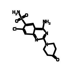 Nc1nc(N2CCC(=O)CC2)nc2cc(Cl)c(S(N)(=O)=O)cc12